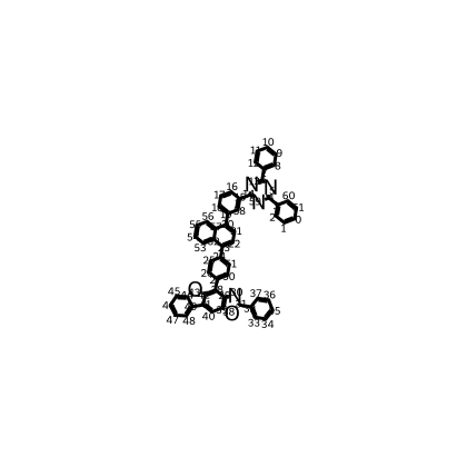 c1ccc(-c2nc(-c3ccccc3)nc(-c3cccc(-c4ccc(-c5ccc(-c6c7nc(-c8ccccc8)oc7cc7c6oc6ccccc67)cc5)c5ccccc45)c3)n2)cc1